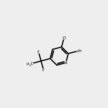 CCCc1ncc(C(C)(F)F)cc1Cl